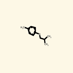 Cc1ccc([N]CC(C)C)cc1